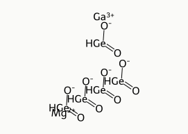 [Ga+3].[Mg+2].[O]=[GeH][O-].[O]=[GeH][O-].[O]=[GeH][O-].[O]=[GeH][O-].[O]=[GeH][O-]